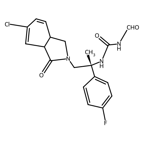 C[C@@](CN1CC2C=CC(Cl)=CC2C1=O)(NC(=O)NC=O)c1ccc(F)cc1